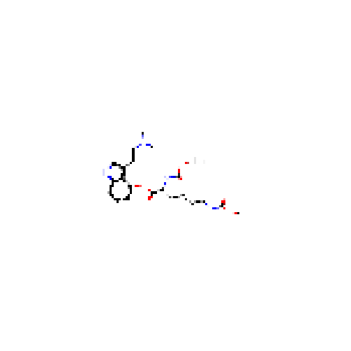 CN(C)CCc1c[nH]c2cccc(OC(=O)[C@H](CCCCNC(=O)OC(C)(C)C)NC(=O)OC(C)(C)C)c12.Cl